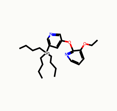 CCC[CH2][Sn]([CH2]CCC)([CH2]CCC)[c]1cncc(Oc2ncccc2OCC)c1